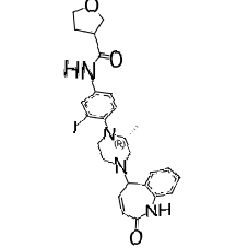 C[C@@H]1CN(C2C=CC(=O)Nc3ccccc32)CCN1c1ccc(NC(=O)C2CCOC2)cc1I